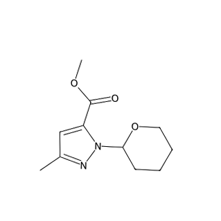 COC(=O)c1cc(C)nn1C1CCCCO1